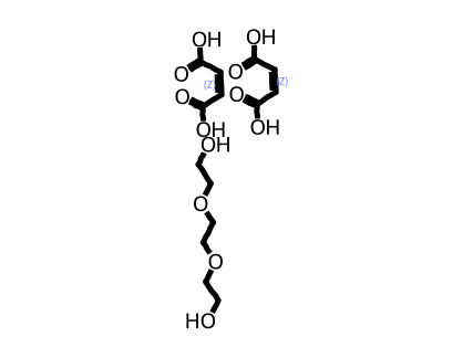 O=C(O)/C=C\C(=O)O.O=C(O)/C=C\C(=O)O.OCCOCCOCCO